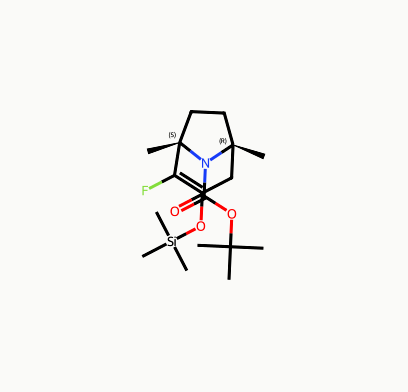 CC(C)(C)OC(=O)N1[C@]2(C)CC[C@@]1(C)C(F)=C(O[Si](C)(C)C)C2